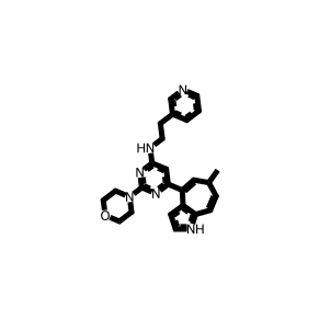 CC1C=Cc2[nH]ccc2C(c2cc(NCCc3cccnc3)nc(N3CCOCC3)n2)=C1